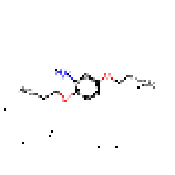 CC(=O)OCCOc1ccc(OCCOC(C)=O)c(N)c1